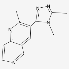 Cc1nc2ccncc2cc1-c1nnc(C)n1C